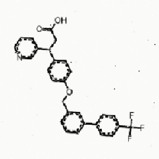 O=C(O)CC(c1ccc(OCc2cccc(-c3ccc(C(F)(F)F)cc3)c2)cc1)c1cccnc1